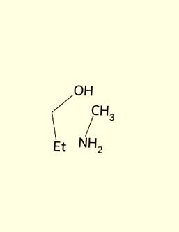 CCCO.CN